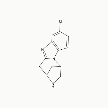 Clc1ccc2c(c1)nc1n2C2CNC(C1)C2